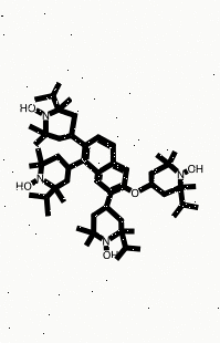 CC(C)C1(C)CC(Oc2cc3ccc(C4CC(C)(C)N(O)C(C)(C(C)C)C4)c(C4CC(C)(C)N(O)C(C)(C(C)C)C4)c3cc2C2CC(C)(C)N(O)C(C)(C(C)C)C2)CC(C)(C)N1O